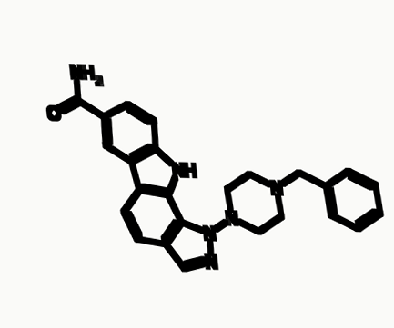 NC(=O)c1ccc2[nH]c3c(ccc4cnn(N5CCN(Cc6ccccc6)CC5)c43)c2c1